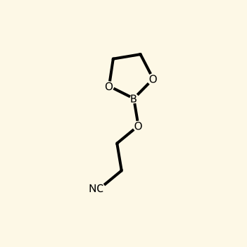 N#CCCOB1OCCO1